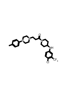 Cc1ccc(N2CCN(CCC(=O)N3CCC(Nc4ccc(Cl)c(C(F)(F)F)c4)CC3)CC2)cc1